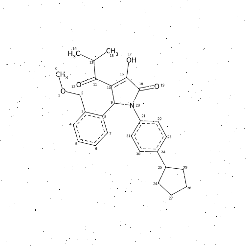 COCc1ccccc1C1C(C(=O)C(C)C)=C(O)C(=O)N1c1ccc(C2CCCC2)cc1